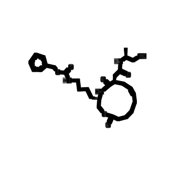 C[C@@H](CO)NC(=O)C[C@H]1C/C=C\CCCCC(=O)OC[C@H](CCCCNC(=O)OCc2ccccc2)NC1=O